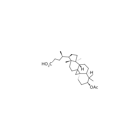 CC(=O)O[C@H]1CC[C@]23CC24CC[C@]2(C)[C@@H]([C@H](C)CCC(=O)O)CC[C@@]2(C)[C@@H]4CC[C@H]3C1(C)C